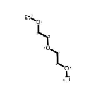 CCOCCOCC[O][Ti]